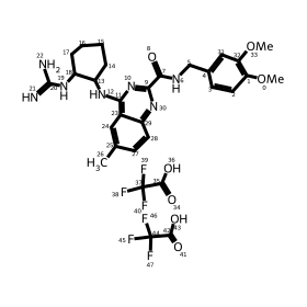 COc1ccc(CNC(=O)c2nc(NC3CCCCC3NC(=N)N)c3cc(C)ccc3n2)cc1OC.O=C(O)C(F)(F)F.O=C(O)C(F)(F)F